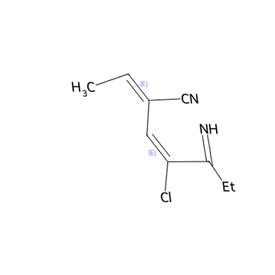 C/C=C(C#N)\C=C(\Cl)C(=N)CC